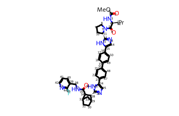 COC(=O)N[C@H](C(=O)N1CCC[C@H]1c1ncc(-c2ccc(-c3ccc(-c4cnc([C@@H]5C6CCC(C6)C5C(=O)NCc5cccnc5F)[nH]4)cc3)cc2)[nH]1)C(C)C